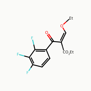 CCO/C=C(/C(=O)OCC)C(=O)c1ccc(F)c(F)c1F